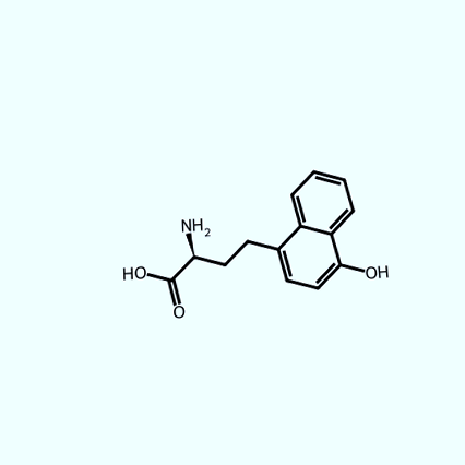 N[C@@H](CCc1ccc(O)c2ccccc12)C(=O)O